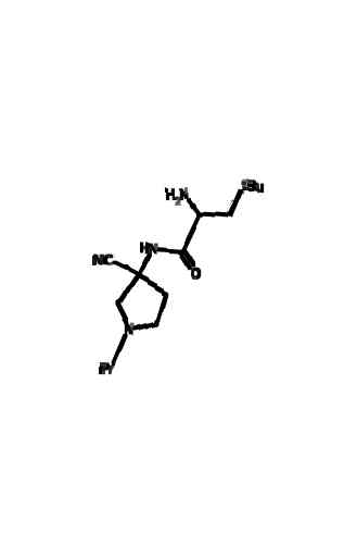 CC(C)N1CCC(C#N)(NC(=O)C(N)CC(C)(C)C)C1